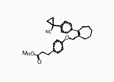 COC(=O)CCc1ccc(OCC2=C(c3ccc(C4(C#N)CC4)cc3)CCCCC2)cc1